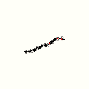 C=CC(=O)OCCOC(=O)Oc1ccc(C(=O)Oc2ccc(C(=O)OC3COC4C(OC(=O)c5ccc(OC(=O)c6ccc(OC(=O)OCCOC(=O)C=C)cc6)cc5)COC34)cc2)cc1